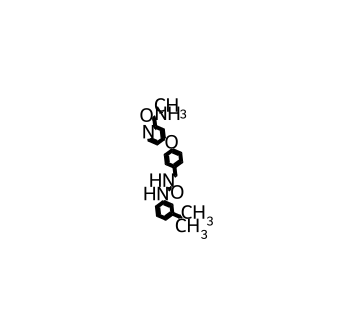 CNC(=O)c1cc(Oc2ccc(CNC(=O)Nc3cccc(C(C)C)c3)cc2)ccn1